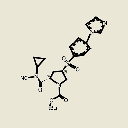 CC(C)(C)OC(=O)N1C[C@H](S(=O)(=O)c2ccc(-n3ccnc3)cc2)C[C@H]1C(=O)N(C#N)C1CC1